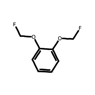 FCOc1c[c]ccc1OCF